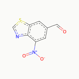 O=Cc1cc([N+](=O)[O-])c2ncsc2c1